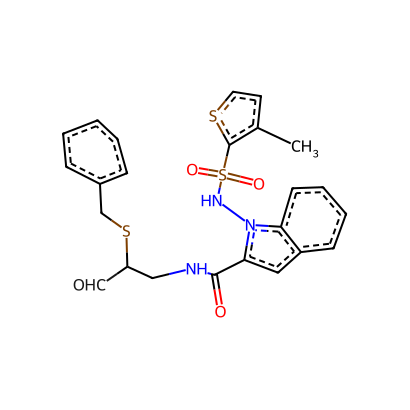 Cc1ccsc1S(=O)(=O)Nn1c(C(=O)NCC(C=O)SCc2ccccc2)cc2ccccc21